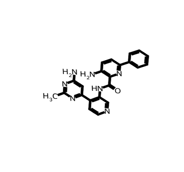 Cc1nc(N)cc(-c2ccncc2NC(=O)c2nc(-c3ccccc3)ccc2N)n1